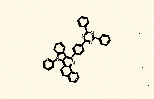 C1=Cc2c(n(-c3ccccc3)c3c2c(-c2ccc(-c4nc(-c5ccccc5)nc(-c5ccccc5)n4)cc2)nc2c4ccccc4ccc23)CC1